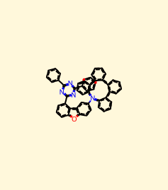 c1ccc(-c2nc(-c3ccccc3)nc(-c3cccc4oc5ccc(-n6c7ccccc7c7ccccc7c7ccccc7c7ccccc76)cc5c34)n2)cc1